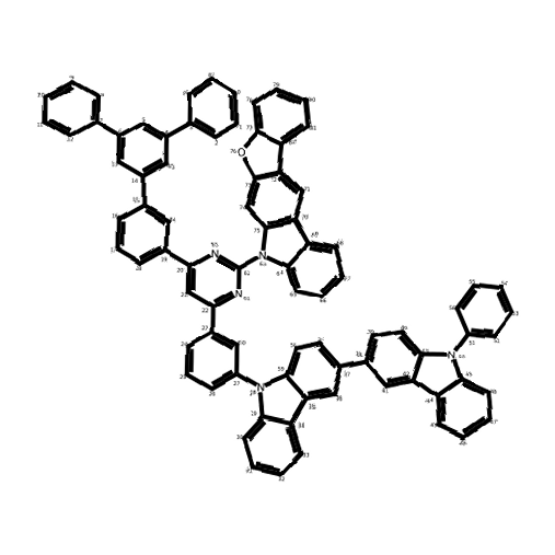 c1ccc(-c2cc(-c3ccccc3)cc(-c3cccc(-c4cc(-c5cccc(-n6c7ccccc7c7cc(-c8ccc9c(c8)c8ccccc8n9-c8ccccc8)ccc76)c5)nc(-n5c6ccccc6c6cc7c(cc65)oc5ccccc57)n4)c3)c2)cc1